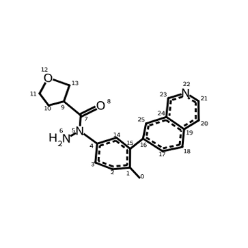 Cc1ccc(N(N)C(=O)C2CCOC2)cc1-c1ccc2ccncc2c1